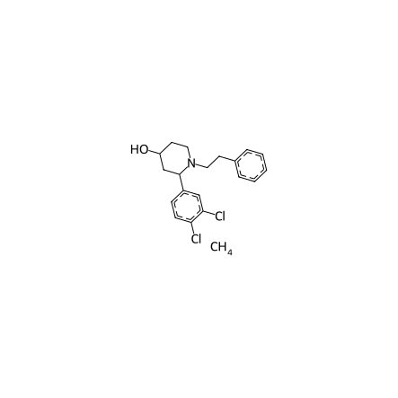 C.OC1CCN(CCc2ccccc2)C(c2ccc(Cl)c(Cl)c2)C1